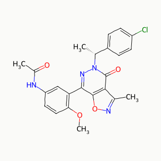 COc1ccc(NC(C)=O)cc1-c1nn([C@H](C)c2ccc(Cl)cc2)c(=O)c2c(C)noc12